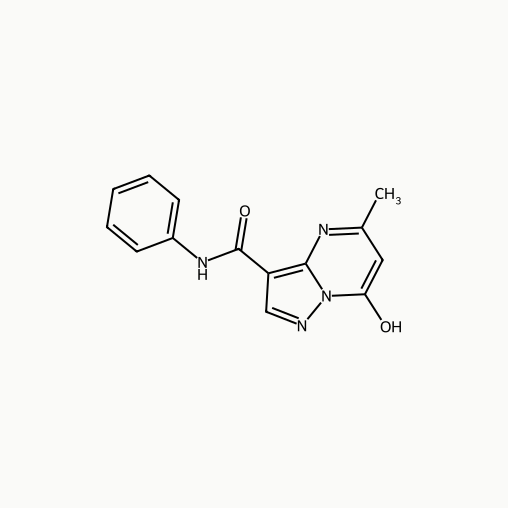 Cc1cc(O)n2ncc(C(=O)Nc3ccccc3)c2n1